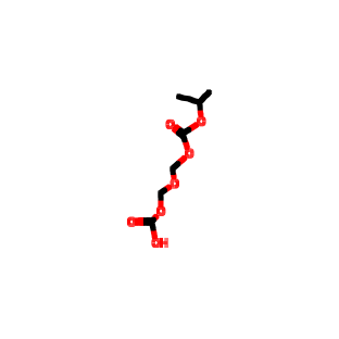 CC(C)OC(=O)OCOCOC(=O)O